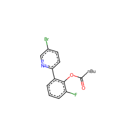 CCCCC(=O)Oc1c(F)cccc1-c1ccc(Br)cn1